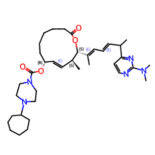 C/C(=C\C=C\C(C)c1ccnc(N(C)C)n1)[C@H]1OC(=O)CCCCC[C@@H](OC(=O)N2CCN(C3CCCCCC3)CC2)/C=C/[C@@H]1C